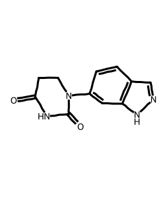 O=C1CCN(c2ccc3cn[nH]c3c2)C(=O)N1